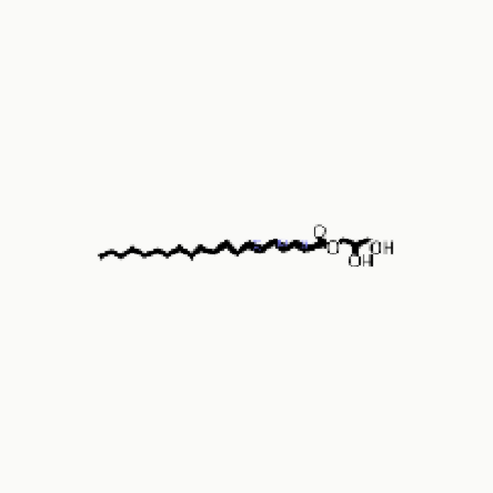 CCCCCCCCCCCCC/C=C/C=C/C=C/C(=O)OCC(O)CO